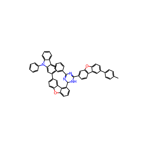 Cc1ccc(-c2ccc3oc4cc(C5=NC(c6ccccc6)=NC(c6cccc7oc8ccc(-c9ccc%10c%11ccccc%11n(-c%11ccccc%11)c%10c9)cc8c67)N5)ccc4c3c2)cc1